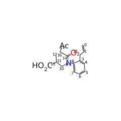 C=CCc1ccccc1N(CC(C)C(=O)O)C(=O)CC(C)=O